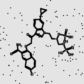 NC(=O)c1cc2cc(Cl)ccc2cc1OCC(=O)c1cn(CC[C@H](COP(=O)(O)O)OP(=O)(O)O)c2cc(C3CC3)ccc12